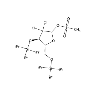 CC(C)[Si](OC[C@H]1OC(OS(C)(=O)=O)C(Cl)(Cl)[C@@H]1O[Si](C(C)C)(C(C)C)C(C)C)(C(C)C)C(C)C